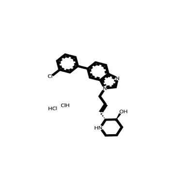 Cl.Cl.O[C@H]1CCCN[C@@H]1/C=C/Cn1cnc2ccc(-c3cccc(Cl)c3)cc21